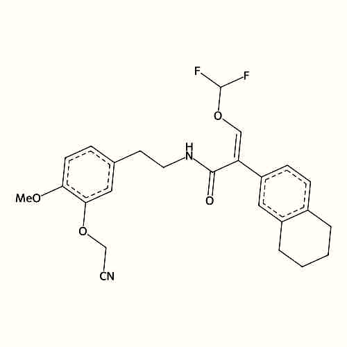 COc1ccc(CCNC(=O)C(=COC(F)F)c2ccc3c(c2)CCCC3)cc1OCC#N